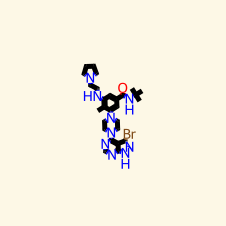 Cc1c(NCCN2CCCC2)cc(C(=O)NC(C)(C)C)cc1N1CCN(c2ncnc3[nH]nc(Br)c23)CC1